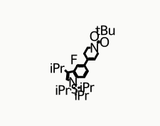 CC(C)c1cn(S(C(C)C)(C(C)C)C(C)C)c2ccc(C3=CCN(C(=O)OC(C)(C)C)CC3)c(F)c12